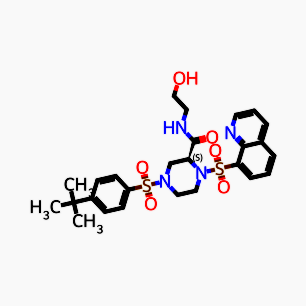 CC(C)(C)c1ccc(S(=O)(=O)N2CCN(S(=O)(=O)c3cccc4cccnc34)[C@H](C(=O)NCCO)C2)cc1